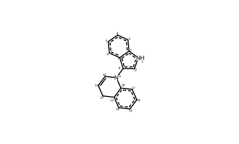 [c]1[nH]c2ccccc2c1N1C=CCc2ccccc21